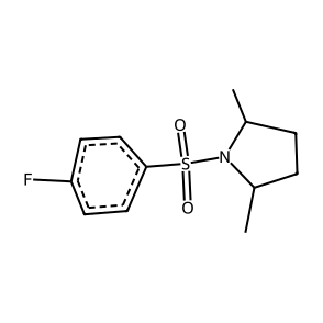 CC1CCC(C)N1S(=O)(=O)c1ccc(F)cc1